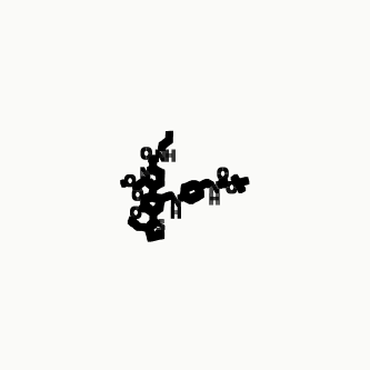 CCCNC(=O)c1ccc(-c2cc3c(cc2CNc2ccc(CNC(=O)OC(C)(C)C)cc2)-c2sccc2CCO3)c(C(=O)OC)n1